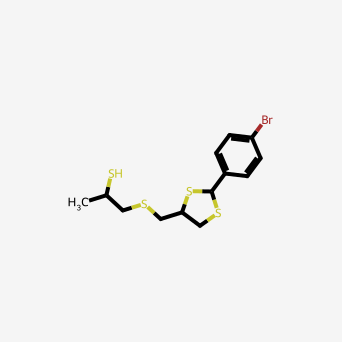 CC(S)CSCC1CSC(c2ccc(Br)cc2)S1